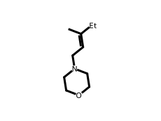 CC/C(C)=C/CN1CCOCC1